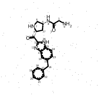 NCC(=O)N[C@H]1CN[C@@H](C(=O)c2nc3cc(Cc4ccccc4)ccc3[nH]2)C1